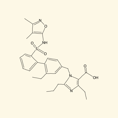 CCCc1nc(CC)c(C(=O)O)n1Cc1ccc(-c2ccccc2S(=O)(=O)Nc2onc(C)c2C)c(CC)c1